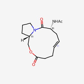 CC(=O)N[C@@H]1C/C=C/CCC(=O)OC[C@@H]2CCCN2C1=O